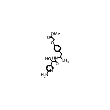 COC(=O)COc1ccc(CC(C)NC(=O)C(O)c2ccc(N)nc2)cc1